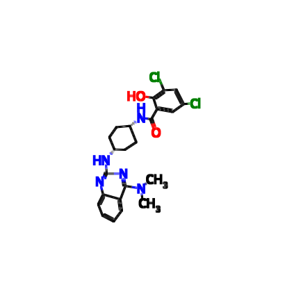 CN(C)c1nc(N[C@H]2CC[C@@H](NC(=O)c3cc(Cl)cc(Cl)c3O)CC2)nc2ccccc12